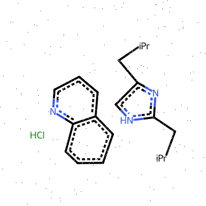 CC(C)Cc1c[nH]c(CC(C)C)n1.Cl.c1ccc2ncccc2c1